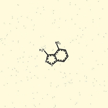 Nc1nsc2cccc([N+](=O)[O-])c12